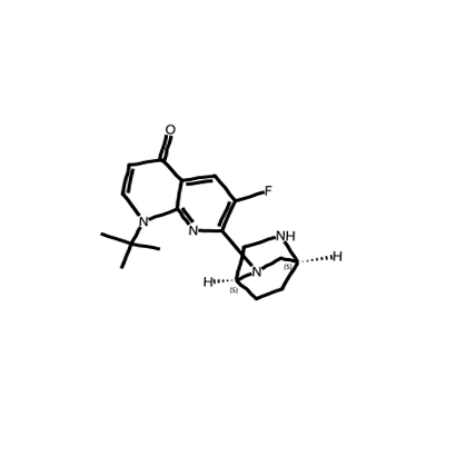 CC(C)(C)n1ccc(=O)c2cc(F)c(N3C[C@@H]4CC[C@H]3CN4)nc21